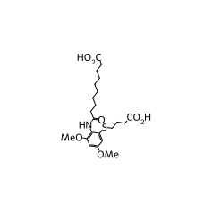 COc1cc(OC)c(NC(=O)CCCCCCCCC(=O)O)c(SCCCC(=O)O)c1